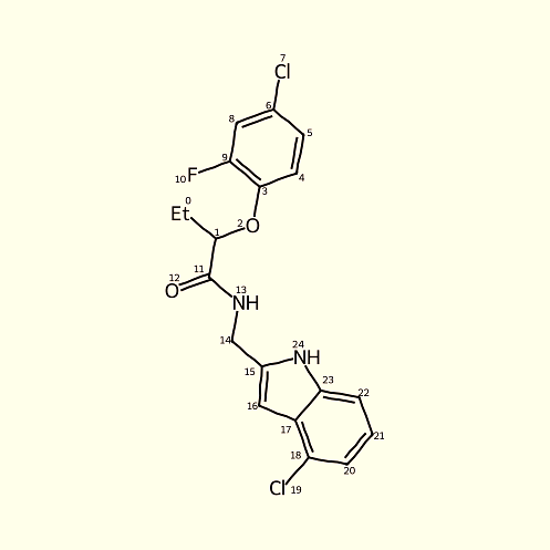 CCC(Oc1ccc(Cl)cc1F)C(=O)NCc1cc2c(Cl)cccc2[nH]1